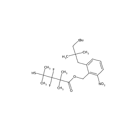 CC(C)(C)CC(C)(C)Cc1cccc([N+](=O)[O-])c1COC(=O)C(C)(C)C(F)(F)C(C)(C)S